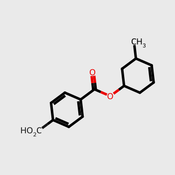 CC1C=CCC(OC(=O)c2ccc(C(=O)O)cc2)C1